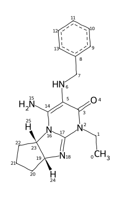 CCN1C(=O)C(NCc2ccccc2)=C(N)N2C1=N[C@@H]1CCC[C@@H]12